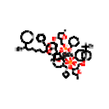 CCCC(CCCCCC1CCC(O[C@@H]2C[C@H](C)OC2COP(=O)(OC2CCCCCC2)OC2C[C@H](C)O[C@@H]2COP(=O)(OC2CCCCCCC2)OC2C[C@H](C)O[C@@H]2COC2CCCC(C(C)(C)CC)CC2)/C=C(\C(=O)OCc2ccccc2)CC(C2/C=C(\OC)CC(CC3CCC3)CCC2)C1)C1CCCCCCCC1